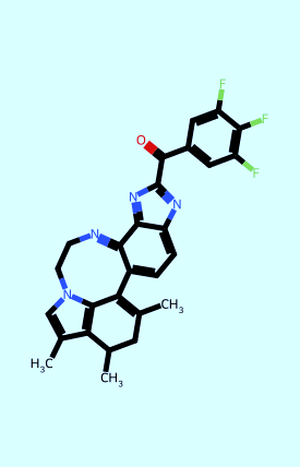 CC1=C2c3ccc4c(c3=NCCn3cc(C)c(c32)C(C)C1)=NC(C(=O)c1cc(F)c(F)c(F)c1)=N4